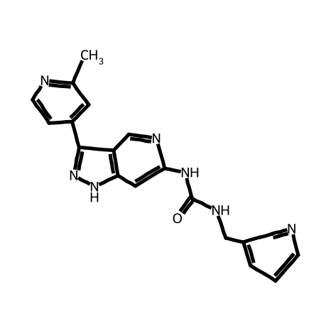 Cc1cc(-c2n[nH]c3cc(NC(=O)NCc4cccnc4)ncc23)ccn1